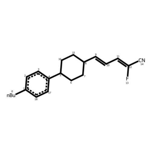 CCCCc1ccc(C2CCC(C=CC=C(F)C#N)CC2)cc1